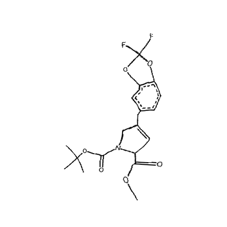 COC(=O)C1C=C(c2ccc3c(c2)OC(F)(F)O3)CN1C(=O)OC(C)(C)C